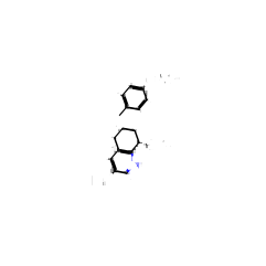 COc1ccc(C[C@H]2Cc3cc(C)cnc3[C@@H](OC(C)=O)C2)cc1